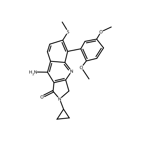 COc1ccc(OC)c(-c2c(SC)ccc3c(N)c4c(nc23)CN(C2CC2)C4=O)c1